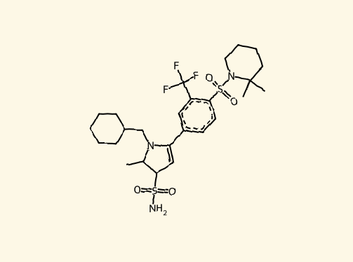 CC1C(S(N)(=O)=O)C=C(c2ccc(S(=O)(=O)N3CCCCC3(C)C)c(C(F)(F)F)c2)N1CC1CCCCC1